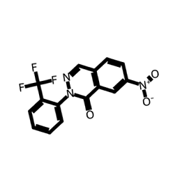 O=c1c2cc([N+](=O)[O-])ccc2cnn1-c1ccccc1C(F)(F)F